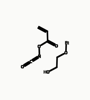 C=CC(=O)ON=C=O.CCOCCO